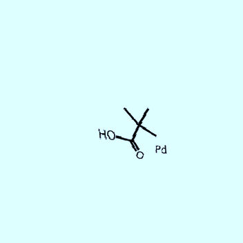 CC(C)(C)C(=O)O.[Pd]